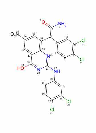 NC(=O)C(c1ccc(Cl)c(Cl)c1)c1cc([N+](=O)[O-])cc2c(O)nc(Nc3ccc(Cl)c(Cl)c3)nc12